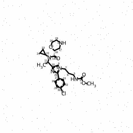 COC(=O)NCCCn1cc([C@@H](C)N(C(=O)[C@H]2CNCCO2)C2CC2)nc1-c1ccc(Cl)cc1